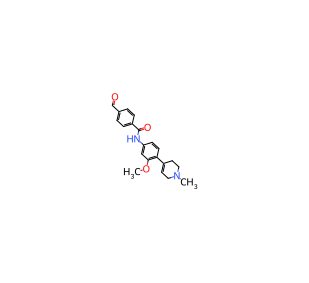 COc1cc(NC(=O)c2ccc(C=O)cc2)ccc1C1=CCN(C)CC1